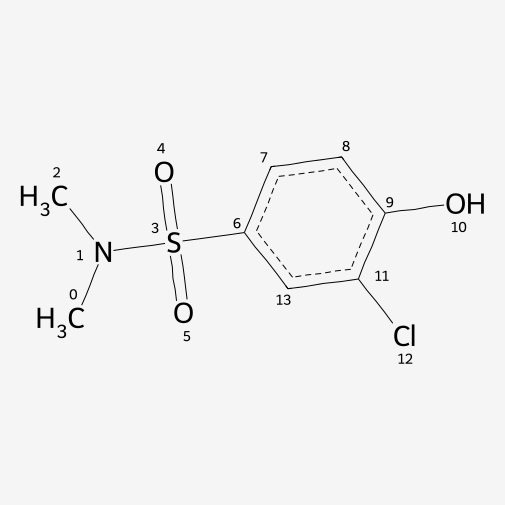 CN(C)S(=O)(=O)c1ccc(O)c(Cl)c1